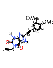 C#CCn1c(=O)c2c(nc(C#Cc3ccc(OC)c(OC)c3)n2C)n(C)c1=O